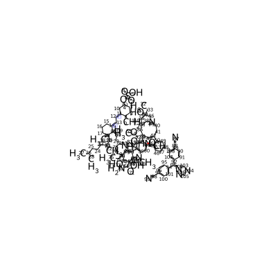 C=C1CC[C@H](OS(=O)(=O)O)C/C1=C/C=C1\CCC[C@]2(C)[C@@H]([C@H](C)CCCC(C)C)CC[C@@H]12.CC[C@]1(O)C[C@H]2C[N@](CCc3c([nH]c4ccccc34)[C@@](C(=O)OC)(c3cc4c(cc3OC)N(C)[C@H]3[C@@](O)(C(N)=O)[C@H](O)[C@]5(CC)C=CCN6CC[C@]43[C@@H]65)C2)C1.N#Cc1ccc(C(c2ccc(C#N)cc2)n2cncn2)cc1